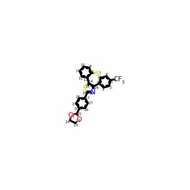 FC(F)(F)c1ccc2c(c1)Sc1ccccc1-c1sc(-c3ccc(C4OCCO4)cc3)nc1-2